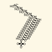 O=S(=O)(O)O.O=S(=O)(O)O.O=S(=O)(O)O.O=S(=O)(O)O.O=S(=O)(O)O.O=S(=O)(O)O.O=S(=O)(O)O.O=S(=O)(O)O.O=S(=O)(O)O.O=S(=O)(O)O.O=S(=O)(O)O.O=S(=O)(O)O.O=S(=O)(O)O.O=S(=O)(O)O.O=S(=O)(O)O.O=S(=O)([O-])O.O=S(=O)([O-])[O-].[Al+3]